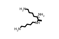 C=C(NCCCCCN)[C@@H](N)CCCCN